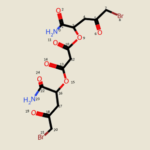 NC(=O)C(CC(=O)CBr)OC(=O)CC(=O)OC(CC(=O)CBr)C(N)=O